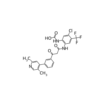 Cc1cc(-c2cccc(C(=O)CC(=O)Nc3cc(C(F)(F)F)c(Cl)cc3NC(=O)O)c2)c(C)cn1